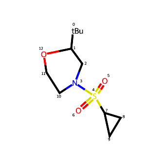 CC(C)(C)C1CN(S(=O)(=O)C2CC2)CCO1